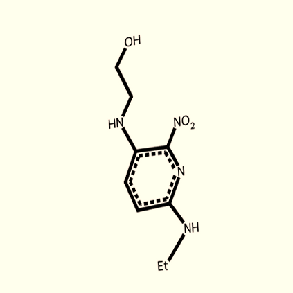 CCNc1ccc(NCCO)c([N+](=O)[O-])n1